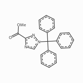 COC(=O)c1ncn(C(c2ccccc2)(c2ccccc2)c2ccccc2)n1